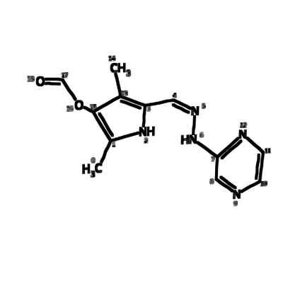 Cc1[nH]c(/C=N\Nc2cnccn2)c(C)c1OC=O